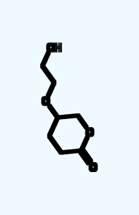 O=C1CCC(OCCO)CO1